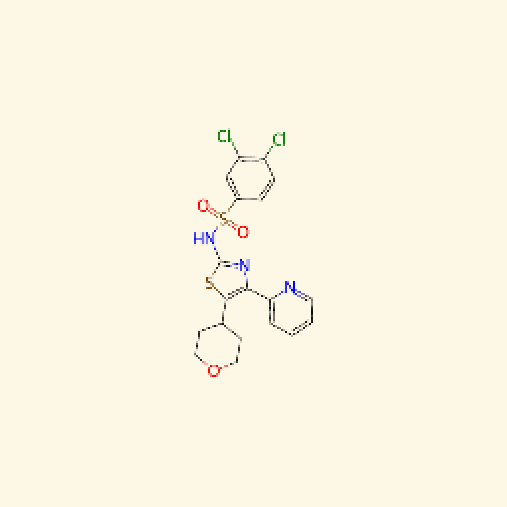 O=S(=O)(Nc1nc(-c2ccccn2)c(C2CCOCC2)s1)c1ccc(Cl)c(Cl)c1